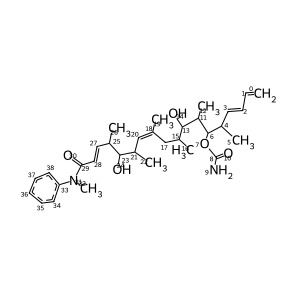 C=CC=CC(C)C(OC(N)=O)C(C)C(O)C(C)CC(C)=CC(C)C(O)C(C)C=CC(=O)N(C)c1ccccc1